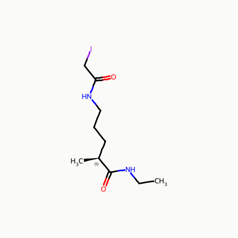 CCNC(=O)[C@@H](C)CCCNC(=O)CI